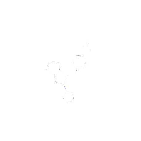 CS(=O)(=O)c1ccc(O[C@H]2c3ccccc3C[C@@H]2N2CCCC2)cc1